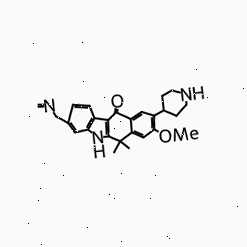 C=NCc1ccc2c3c([nH]c2c1)C(C)(C)c1cc(OC)c(C2CCNCC2)cc1C3=O